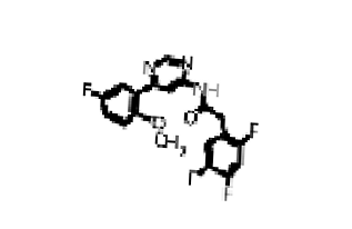 COc1ccc(F)cc1-c1cc(NC(=O)Cc2cc(F)c(F)cc2F)ncn1